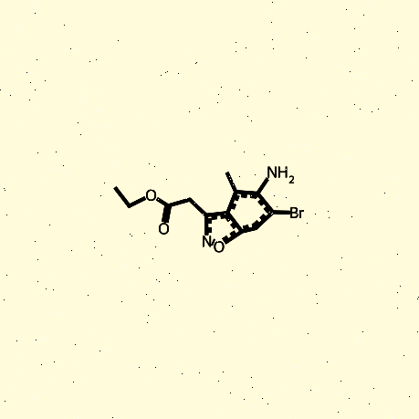 CCOC(=O)Cc1noc2cc(Br)c(N)c(C)c12